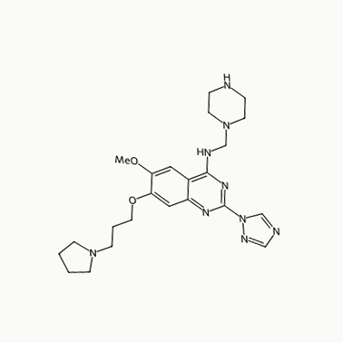 COc1cc2c(NCN3CCNCC3)nc(-n3cncn3)nc2cc1OCCCN1CCCC1